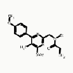 C=CC(=O)N(CC)Cc1nc(SC)c(C)c(-c2ccc(OC(F)(F)F)cc2)n1